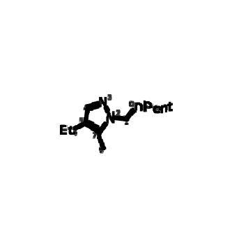 CCCCCCn1n[c]c(CC)c1C